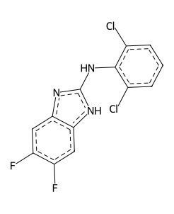 Fc1cc2nc(Nc3c(Cl)cccc3Cl)[nH]c2cc1F